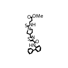 COC(=O)CCNC(=S)N1CCC(c2nc(C(=O)Nc3ccccc3-c3ccccc3)cs2)CC1